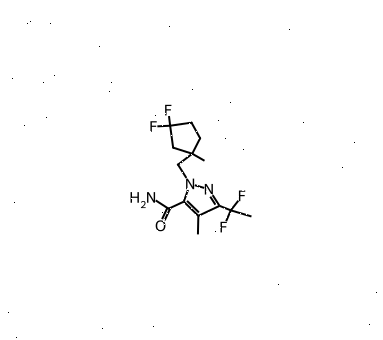 Cc1c(C(C)(F)F)nn(CC2(C)CCC(F)(F)C2)c1C(N)=O